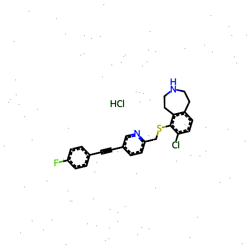 Cl.Fc1ccc(C#Cc2ccc(CSc3c(Cl)ccc4c3CCNCC4)nc2)cc1